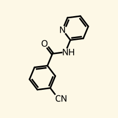 N#Cc1cccc(C(=O)Nc2ccccn2)c1